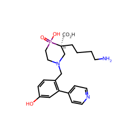 NCCCC[C@@]1(C(=O)O)CN(Cc2ccc(O)cc2-c2ccncc2)CCP1(=O)O